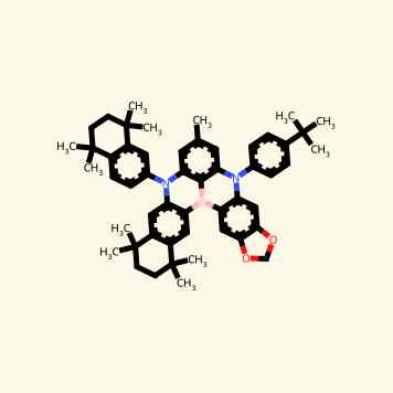 Cc1cc2c3c(c1)N(c1ccc4c(c1)C(C)(C)CCC4(C)C)c1cc4c(cc1B3c1cc3c(cc1N2c1ccc(C(C)(C)C)cc1)OCO3)C(C)(C)CCC4(C)C